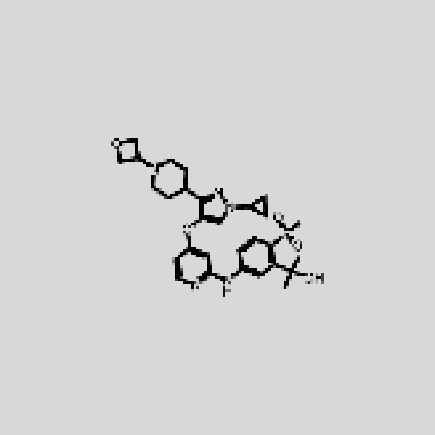 CC(C)(O)c1cc(Nc2cc(Oc3cn(C4CC4)nc3C3CCN(C4COC4)CC3)ccn2)ccc1S(C)(=O)=O